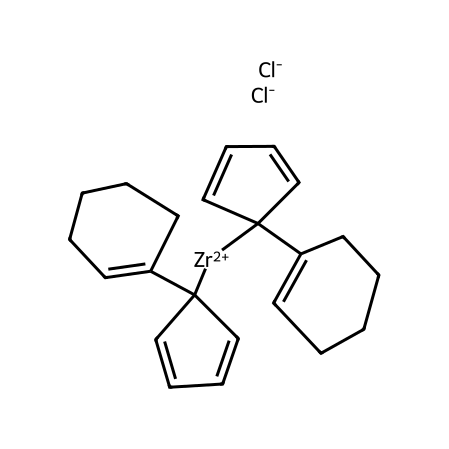 C1=C[C]([Zr+2][C]2(C3=CCCCC3)C=CC=C2)(C2=CCCCC2)C=C1.[Cl-].[Cl-]